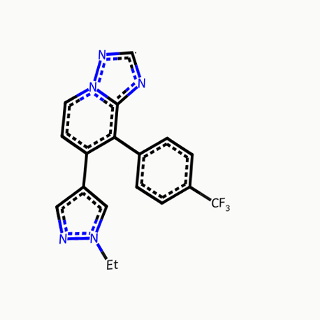 CCn1cc(-c2ccn3n[c]nc3c2-c2ccc(C(F)(F)F)cc2)cn1